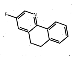 Fc1cnc2c(c1)CCc1ccccc1-2